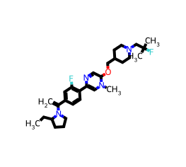 C=C(c1ccc(C2=CN(C)C(OCC3CCN(CC(C)(C)F)CC3)C=N2)c(F)c1)N1CCCC1CC